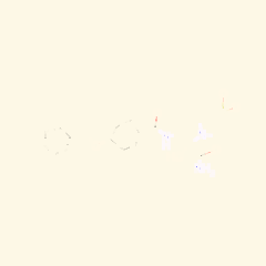 NC(=O)[C@@](O)(CNC(=O)c1ccc(OCc2ccc(F)cc2)cc1)N1CCS(=O)(=O)CC1